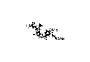 COCCCOc1cc(C(=O)N(C[C@@H]2CNC[C@H]2CN(C(=O)CCC(N)=O)C2CC2)C(C)C)ccc1OC